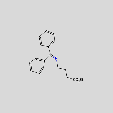 CCOC(=O)CCCN=C(c1ccccc1)c1ccccc1